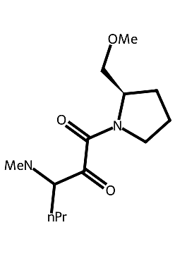 CCCC(NC)C(=O)C(=O)N1CCC[C@@H]1COC